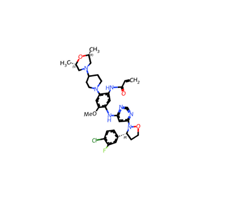 C=CC(=O)Nc1cc(Nc2cc(N3OCC[C@@H]3c3ccc(Cl)c(F)c3)ncn2)c(OC)cc1N1CCC(N2C[C@@H](C)O[C@@H](C)C2)CC1